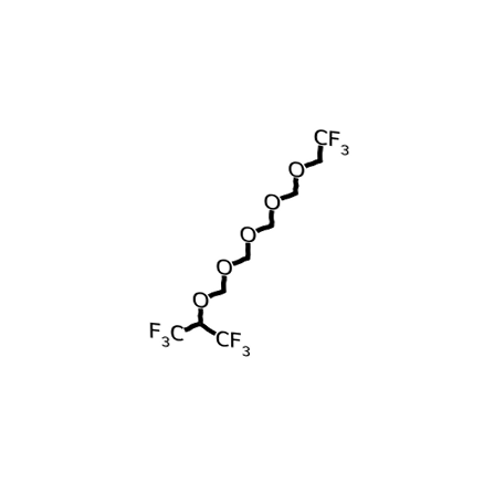 FC(F)(F)COCOCOCOCOC(C(F)(F)F)C(F)(F)F